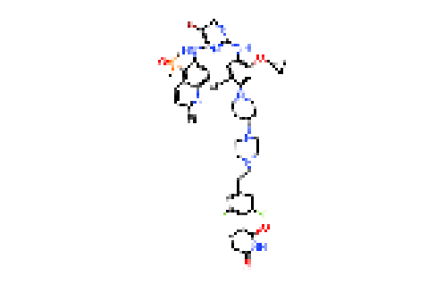 CCc1ccc2c(P(C)(C)=O)c(Nc3nc(Nc4cc(CC)c(N5CCC(N6CCN(CCc7cc(F)c([C@H]8CCC(=O)NC8=O)c(F)c7)CC6)CC5)cc4OC4CC4)ncc3Br)ccc2n1